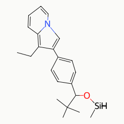 CCc1c(-c2ccc(C(O[SiH](C)C)C(C)(C)C)cc2)cn2ccccc12